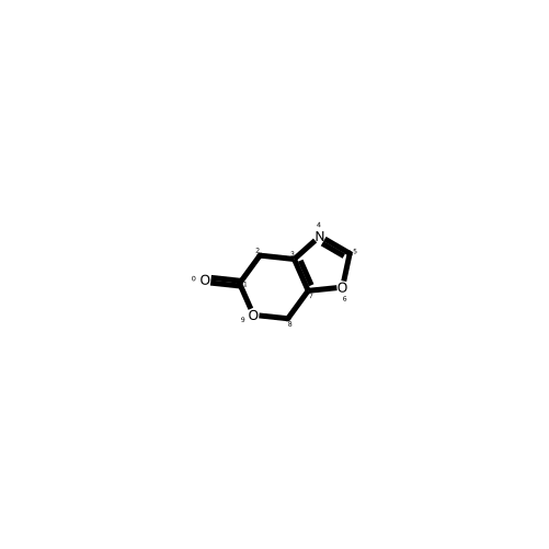 O=C1Cc2ncoc2CO1